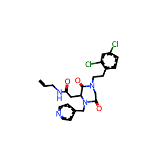 C=CCNC(=O)CC1C(=O)N(CCc2ccc(Cl)cc2Cl)CC(=O)N1Cc1ccncc1